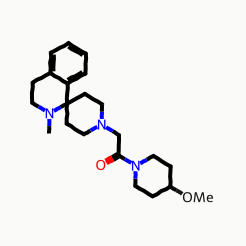 COC1CCN(C(=O)CN2CCC3(CC2)c2ccccc2CCN3C)CC1